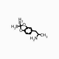 BC1(B)Oc2ccc(CC(C)N)cc2O1